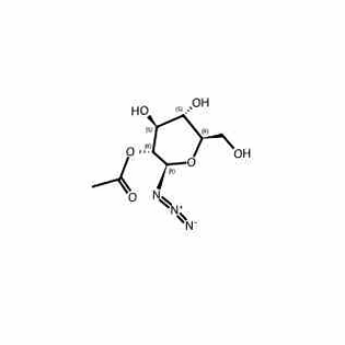 CC(=O)O[C@@H]1[C@@H](O)[C@H](O)[C@@H](CO)O[C@H]1N=[N+]=[N-]